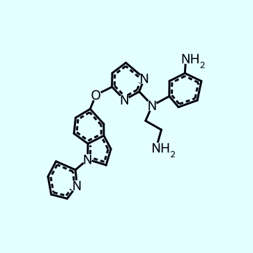 NCCN(c1cccc(N)c1)c1nccc(Oc2ccc3c(ccn3-c3ccccn3)c2)n1